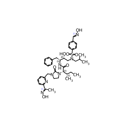 CC[C@H](C)[C@@H](C(=O)N[C@@H](Cc1ccccc1)[C@H](O)CN(CC(C)C)S(=O)(=O)c1ccc(/C=N/O)cc1)N1CCN(Cc2cccc(/C(C)=N/O)n2)C1=O